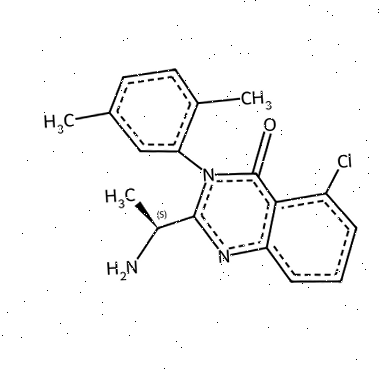 Cc1ccc(C)c(-n2c([C@H](C)N)nc3cccc(Cl)c3c2=O)c1